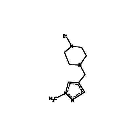 CCN1CCN(Cc2cnn(C)c2)CC1